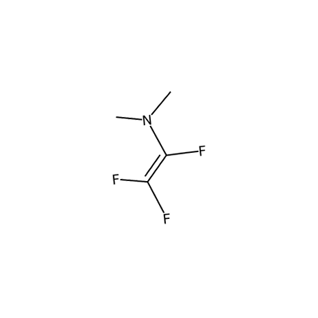 CN(C)C(F)=C(F)F